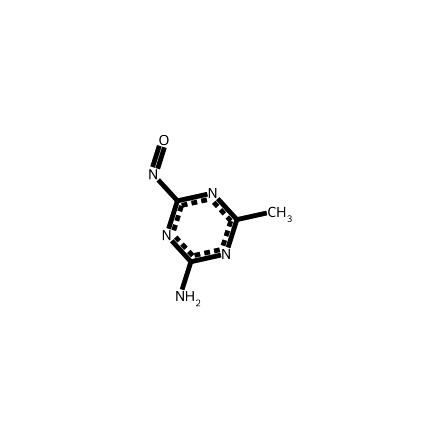 Cc1nc(N)nc(N=O)n1